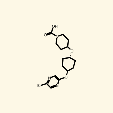 O=C(O)N1CCC(O[C@H]2CC[C@H](Oc3cnc(Br)cn3)CC2)CC1